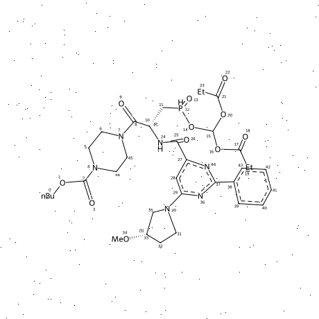 CCCCOC(=O)N1CCN(C(=O)[C@H](C[PH](=O)OC(OC(=O)CC)OC(=O)CC)NC(=O)c2cc(N3CC[C@H](OC)C3)nc(-c3ccccc3)n2)CC1